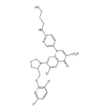 CCOC(=O)c1cn(-c2ccc(NCCCO)nc2)c2cc(N3CCCC3COc3nc(Cl)ccc3Cl)c(Cl)cc2c1=O